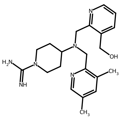 Cc1cnc(CN(Cc2ncccc2CO)C2CCN(C(=N)N)CC2)c(C)c1